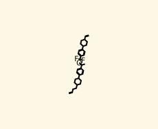 C=CCCC1CCC(c2ccc(C(C)OC(F)(F)c3ccc(C4CCC(C=C)CC4)cc3)cc2)CC1